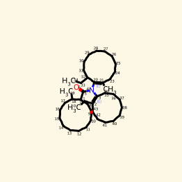 CC/C1=C(\N(C(=O)C2CCCCCCCCCCC2C)/C2=C(\C)CCCCCCCCCC2CC)CCCCCCCCC1